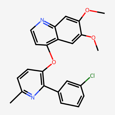 COc1cc2nccc(Oc3ccc(C)nc3-c3cccc(Cl)c3)c2cc1OC